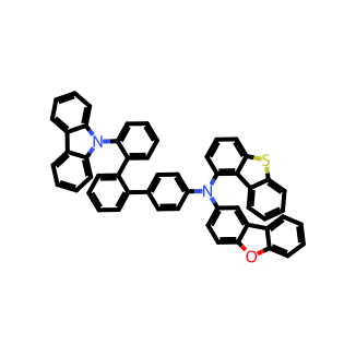 c1ccc(-c2ccccc2-n2c3ccccc3c3ccccc32)c(-c2ccc(N(c3ccc4oc5ccccc5c4c3)c3cccc4sc5ccccc5c34)cc2)c1